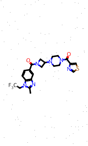 Cc1nc2cc(C(=O)N3CC(N4CCN(C(=O)c5cscn5)CC4)C3)ccc2n1CC(F)(F)F